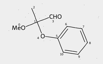 COC(C)(C=O)Oc1ccccc1